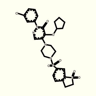 O=c1c(OC2CCCC2)c(N2CCN(S(=O)(=O)c3ccc4c(c3)S(=O)(=O)CC4)CC2)cnn1-c1cccc(Cl)c1